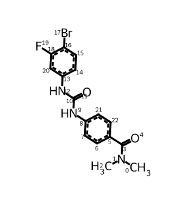 CN(C)C(=O)c1ccc(NC(=O)Nc2ccc(Br)c(F)c2)cc1